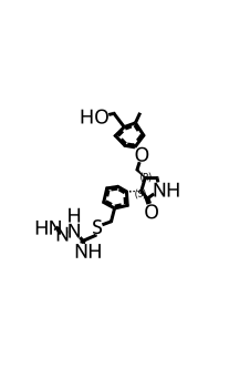 Cc1cc(OC[C@H]2CNC(=O)[C@@H]2c2cccc(CSCC(=N)NN=N)c2)ccc1CO